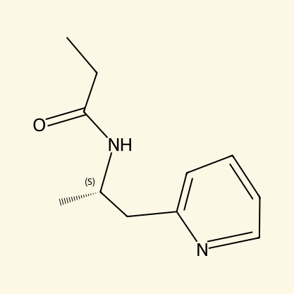 CCC(=O)N[C@@H](C)Cc1ccccn1